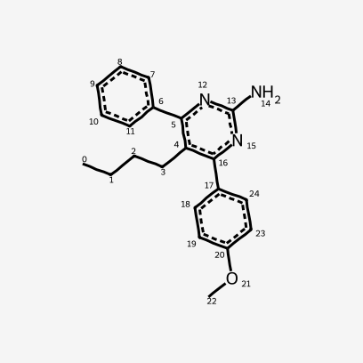 CCCCc1c(-c2ccccc2)nc(N)nc1-c1ccc(OC)cc1